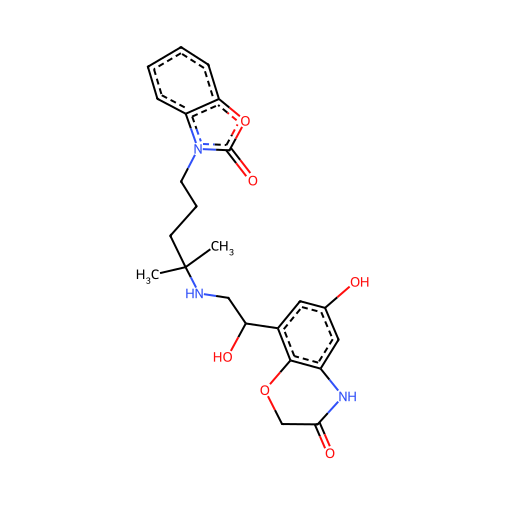 CC(C)(CCCn1c(=O)oc2ccccc21)NCC(O)c1cc(O)cc2c1OCC(=O)N2